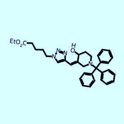 CCOC(=O)CCCCn1cc(C=C2CN(C(c3ccccc3)(c3ccccc3)c3ccccc3)CCC2O)nn1